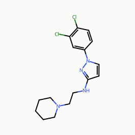 Clc1ccc(-n2ccc(NCCN3CCCCC3)n2)cc1Cl